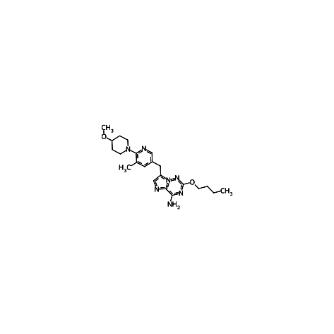 CCCCOc1nc(N)c2ncc(Cc3cnc(N4CCC(OC)CC4)c(C)c3)n2n1